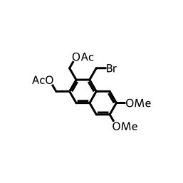 COc1cc2cc(COC(C)=O)c(COC(C)=O)c(CBr)c2cc1OC